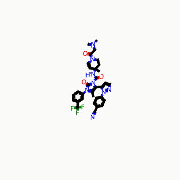 Cc1c(-c2ccnn2-c2ccc(C#N)cc2)n(C(=O)NC2(C)CCN(C(=O)CN(C)C)CC2)c(=O)n1-c1cccc(C(F)(F)F)c1